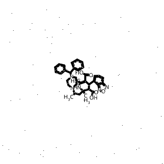 CC1=C(C(=O)O)C(c2cccc3nonc23)C(C(=O)O)C(C)(CC(C)N2CCN(C(c3ccccc3)c3ccccc3)CC2)N1